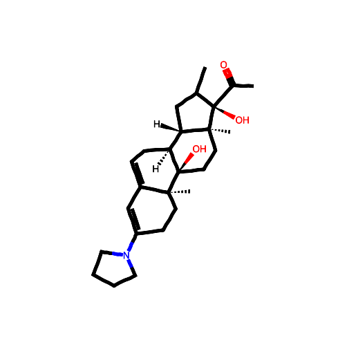 CC(=O)[C@@]1(O)C(C)C[C@H]2[C@@H]3CC=C4C=C(N5CCCC5)CC[C@]4(C)[C@@]3(O)CC[C@@]21C